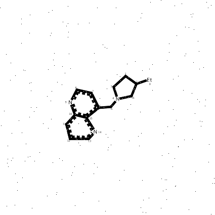 CCC1CCN(Cc2ccnc3cccnc23)C1